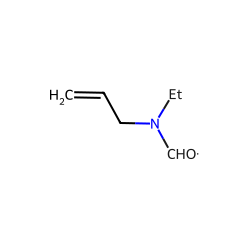 C=CCN([C]=O)CC